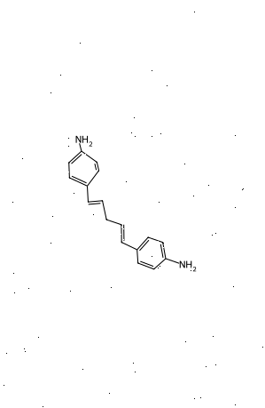 Nc1ccc(C=CCC=Cc2ccc(N)cc2)cc1